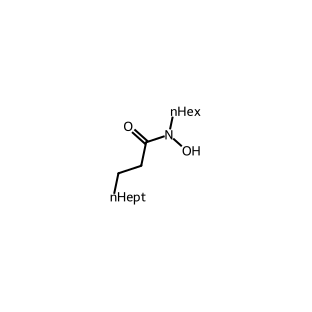 CCCCCCCCCC(=O)N(O)CCCCCC